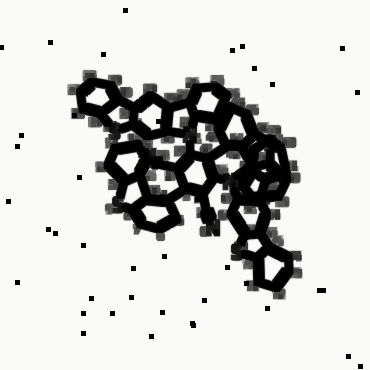 N#Cc1c(-c2cccc3sc4ccccc4c23)c(C#N)c(-n2c3ccccc3c3cc4c(cc32)sc2ccccc24)c(-c2cccc3sc4ccccc4c23)c1-n1c2ccccc2c2cc3c(cc21)sc1ccccc13